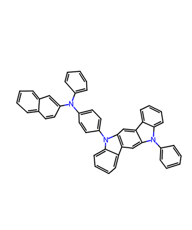 c1ccc(N(c2ccc(-n3c4ccccc4c4cc5c(cc43)c3ccccc3n5-c3ccccc3)cc2)c2ccc3ccccc3c2)cc1